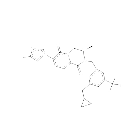 Cc1cn(-c2ccc3n(c2=O)C[C@@H](C)N(Cc2cc(CC4CC4)cc(C(F)(F)F)c2)C3=O)cn1